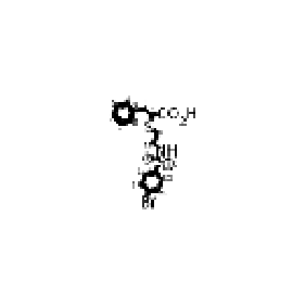 O=C(O)C(Cc1ccccc1)SCCNS(=O)(=O)c1ccc(Br)cc1